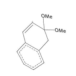 COC1(OC)[C]=Cc2ccccc2C1